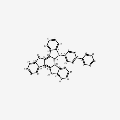 c1ccc(-c2ccc(-n3c4ccccc4c4c5sc6ccccc6c5c5sc6ncccc6c5c43)cc2)cc1